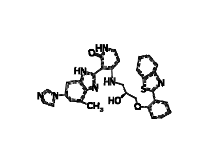 Cc1cc(-n2ccnc2)cc2[nH]c(-c3c(NC[C@H](O)COc4ccccc4-c4nc5ccccc5s4)cc[nH]c3=O)nc12